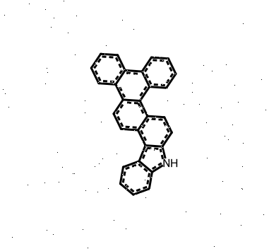 c1ccc2c(c1)[nH]c1ccc3c(ccc4c5ccccc5c5ccccc5c43)c12